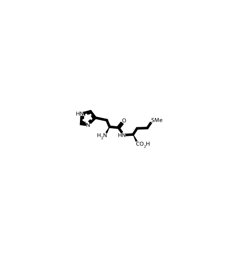 CSCC[C@H](NC(=O)[C@@H](N)Cc1c[nH]cn1)C(=O)O